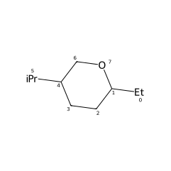 CCC1CCC(C(C)C)CO1